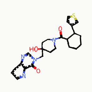 O=C(C1CCCCC1c1ccsc1)N1CCC(O)(Cn2cnc3cccnc3c2=O)CC1